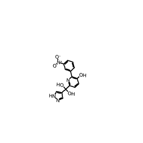 O=[N+]([O-])c1cccc(-c2nc(C(O)(O)c3cn[nH]c3)ccc2O)c1